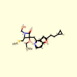 CCCSCC1N(CO)C(=O)C1(Cc1nccc2oc(CCC3CC3)cc12)OCOC